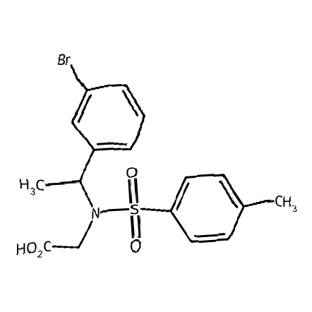 Cc1ccc(S(=O)(=O)N(CC(=O)O)C(C)c2cccc(Br)c2)cc1